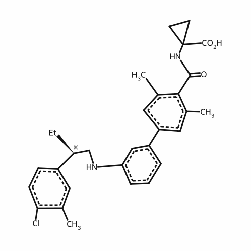 CC[C@@H](CNc1cccc(-c2cc(C)c(C(=O)NC3(C(=O)O)CC3)c(C)c2)c1)c1ccc(Cl)c(C)c1